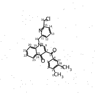 Cc1ccc(C(=O)c2cn(Cc3cccc(CCl)n3)c3ccccc3c2=O)cc1C